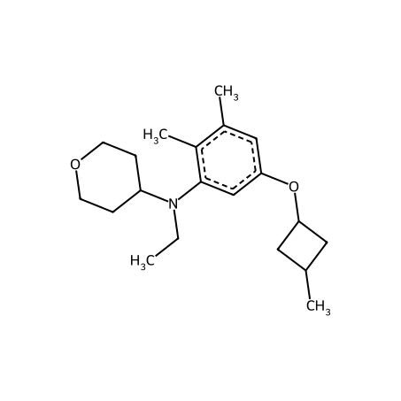 CCN(c1cc(OC2CC(C)C2)cc(C)c1C)C1CCOCC1